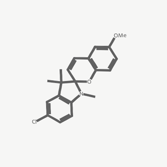 COc1ccc2c(c1)C=CC1(O2)N(C)c2ccc(Cl)cc2C1(C)C